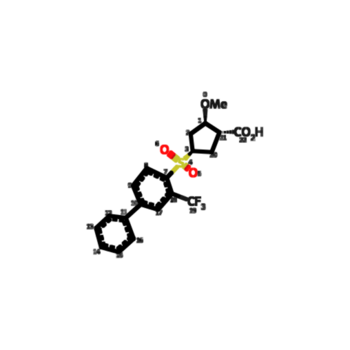 CO[C@@H]1C[C@H](S(=O)(=O)c2ccc(-c3ccccc3)cc2C(F)(F)F)C[C@H]1C(=O)O